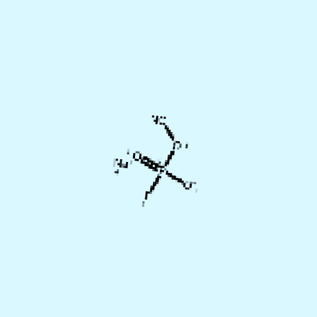 N#COP(=O)([O-])F.[Na+]